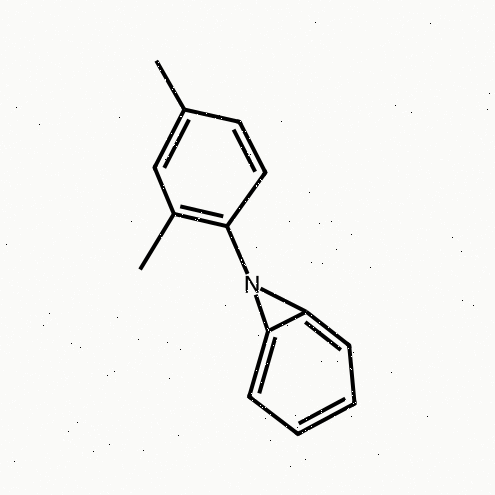 Cc1ccc(N2c3ccccc32)c(C)c1